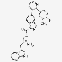 Cc1cc(-c2ncccc2-c2ccc3c(cnn3C(=O)OC[C@H](N)Cc3c[nH]c4ccccc34)c2)ccc1F